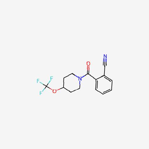 N#Cc1ccccc1C(=O)N1CCC(OC(F)(F)F)CC1